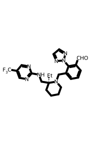 CC[C@@]1(CNc2ncc(C(F)(F)F)cn2)CCCCN1Cc1cccc(C=O)c1-n1nccn1